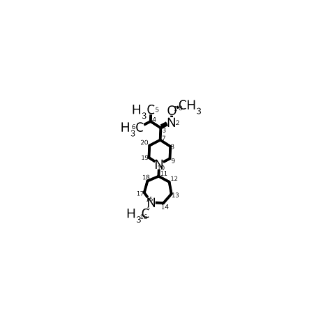 CO/N=C(\C(C)C)C1CCN(C2CCCN(C)CC2)CC1